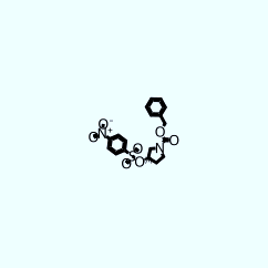 O=C(OCc1ccccc1)N1CC[C@@H](OS(=O)(=O)c2ccc([N+](=O)[O-])cc2)C1